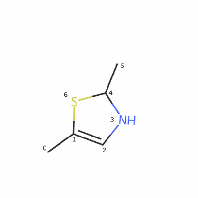 CC1=CNC(C)S1